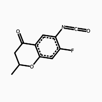 CC1CC(=O)c2cc(N=C=O)c(F)cc2O1